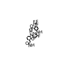 CNC(=O)C=C1C=CC=C(Nc2ncc(F)c(Nc3ccc(OC(F)(F)F)c(C(=O)OC)c3)n2)C1=O